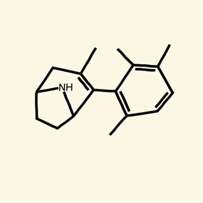 CC1=C(c2c(C)ccc(C)c2C)C2CCC(C1)N2